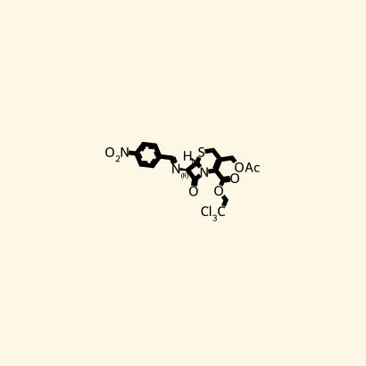 CC(=O)OCC1=C(C(=O)OCC(Cl)(Cl)Cl)N2C(=O)[C@@H](N=Cc3ccc([N+](=O)[O-])cc3)[C@H]2SC1